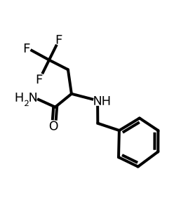 NC(=O)C(CC(F)(F)F)NCc1ccccc1